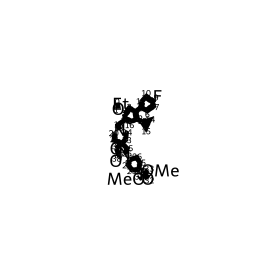 CCOc1cc(-c2ccc(F)cc2)c(C2CC2)cc1CN1CCC2(CC1)CN(C1CCC(P(=O)(OC)OC)CC1)C(=O)O2